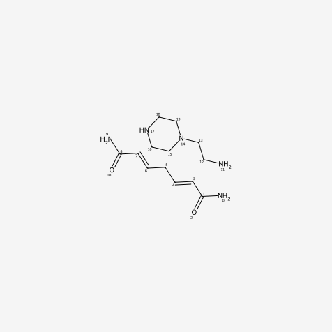 NC(=O)C=CCC=CC(N)=O.NCCN1CCNCC1